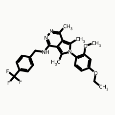 CCOc1ccc(-n2c(C)c3c(C)nnc(NCc4ccc(C(F)(F)F)cc4)c3c2C)c(OC)c1